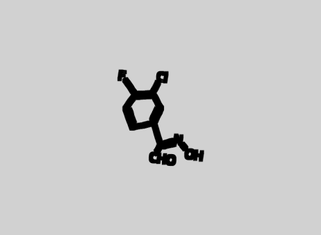 O=CC(=NO)c1ccc(F)c(Cl)c1